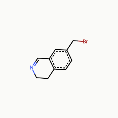 BrCc1ccc2c(c1)C=NCC2